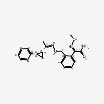 CON=C(C(N)=O)c1ccccc1CON=C(C)[C@@H]1C[C@H]1c1ccccc1